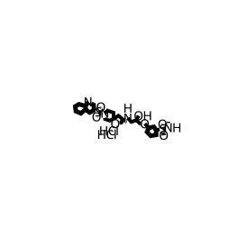 CNS(=O)(=O)c1cccc(OCC(O)CN[C@H]2COC3(CCN(S(=O)(=O)c4cnc5ccccc5c4)CC3)C2)c1.Cl.Cl